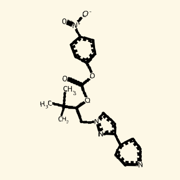 CC(C)(C)C(Cn1ccc(-c2ccncc2)n1)OC(=O)Oc1ccc([N+](=O)[O-])cc1